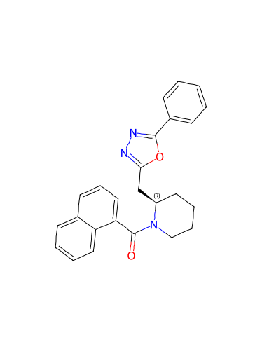 O=C(c1cccc2ccccc12)N1CCCC[C@@H]1Cc1nnc(-c2ccccc2)o1